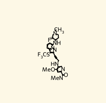 CNC(=O)c1cc(OC)c(NCC#Cc2nn3c(N[C@@H]4CCN(C)C[C@@H]4F)cccc3c2SC(F)(F)F)cn1